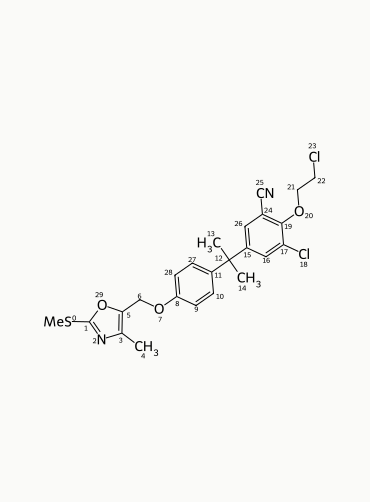 CSc1nc(C)c(COc2ccc(C(C)(C)c3cc(Cl)c(OCCCl)c(C#N)c3)cc2)o1